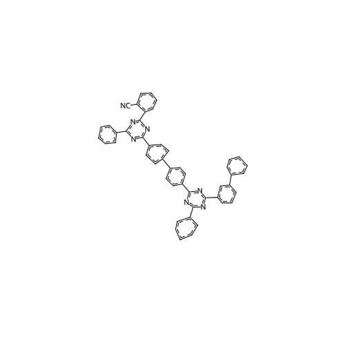 N#Cc1ccccc1-c1nc(-c2ccccc2)nc(-c2ccc(-c3ccc(-c4nc(-c5ccccc5)nc(-c5cccc(-c6ccccc6)c5)n4)cc3)cc2)n1